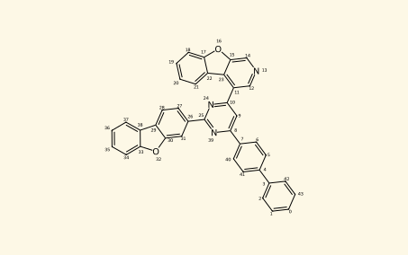 c1ccc(-c2ccc(-c3cc(-c4cncc5oc6ccccc6c45)nc(-c4ccc5c(c4)oc4ccccc45)n3)cc2)cc1